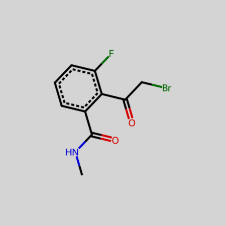 CNC(=O)c1cccc(F)c1C(=O)CBr